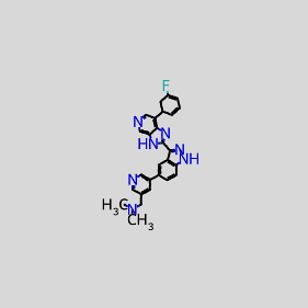 CN(C)Cc1cncc(-c2ccc3[nH]nc(-c4nc5c(C6C=CC=C(F)C6)cncc5[nH]4)c3c2)c1